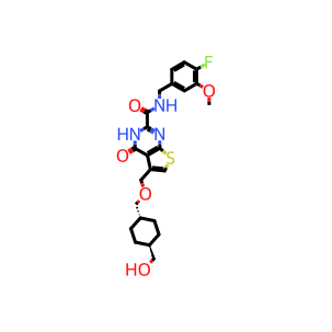 COc1cc(CNC(=O)c2nc3scc(COC[C@H]4CC[C@H](CO)CC4)c3c(=O)[nH]2)ccc1F